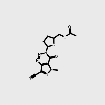 CC(=O)OCC1[CH][CH]C(n2nnc3c(C#N)nn(C)c3c2=O)O1